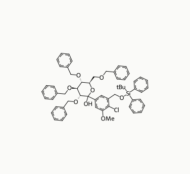 COc1cc(C2(O)O[C@H](COCc3ccccc3)[C@@H](OCc3ccccc3)[C@H](OCc3ccccc3)[C@H]2OCc2ccccc2)cc(CO[Si](c2ccccc2)(c2ccccc2)C(C)(C)C)c1Cl